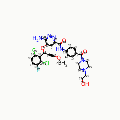 BOC#CC(Oc1cc(C(=O)Nc2ccc(C(=O)N3CCN(CCO)CC3)cc2)nnc1N)c1c(Cl)ccc(F)c1Cl